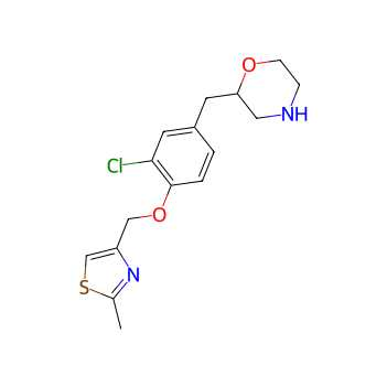 Cc1nc(COc2ccc(CC3CNCCO3)cc2Cl)cs1